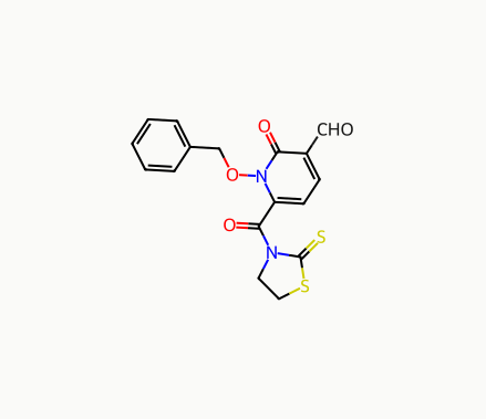 O=Cc1ccc(C(=O)N2CCSC2=S)n(OCc2ccccc2)c1=O